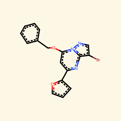 Brc1cnn2c(OCc3ccccc3)cc(-c3ccco3)nc12